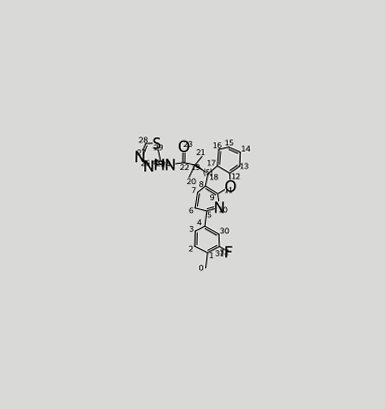 Cc1ccc(-c2ccc3c(n2)Oc2ccccc2[C@@H]3C(C)(C)C(=O)Nc2nncs2)cc1F